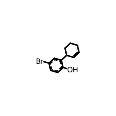 Oc1ccc(Br)cc1C1C=CCCC1